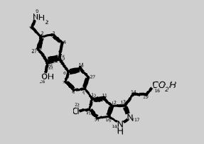 NCc1ccc(-c2ccc(-c3cc4c(CCC(=O)O)n[nH]c4cc3Cl)cc2)c(O)c1